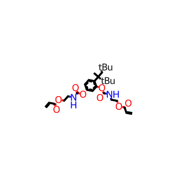 C=CC(=O)OCCNC(=O)Oc1ccc(C(C)(CC(C)(C)C)C(C)(C)C)c(OC(=O)NCCOC(=O)C=C)c1